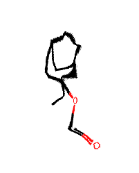 CC1(OC=O)CC2CCC1C2